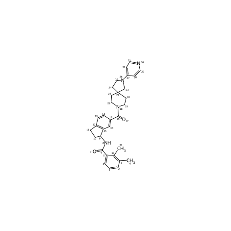 Cc1cccc(C(=O)NC2CCc3ccc(C(=O)N4CCC5(CC4)CCN(c4ccncc4)C5)cc32)c1C